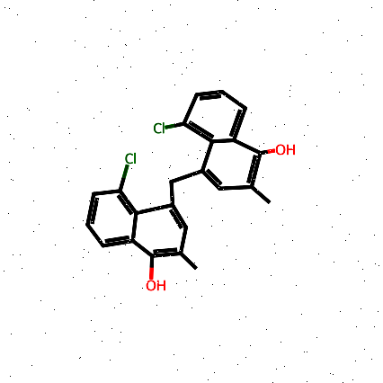 Cc1cc(Cc2cc(C)c(O)c3cccc(Cl)c23)c2c(Cl)cccc2c1O